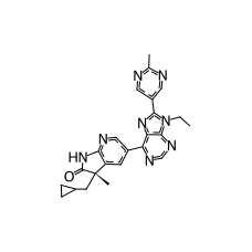 CCn1c(-c2cnc(C)nc2)nc2c(-c3cnc4c(c3)[C@](C)(CC3CC3)C(=O)N4)ncnc21